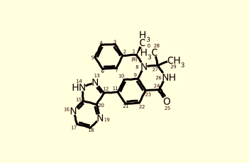 C[C@H](c1ccccc1)N1c2cc(-c3n[nH]c4nccnc34)ccc2C(=O)NC1(C)C